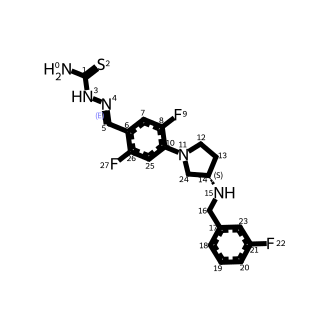 NC(=S)N/N=C/c1cc(F)c(N2CC[C@H](NCc3cccc(F)c3)C2)cc1F